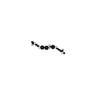 C=COC(=O)CCCCCOc1ccc(C(=O)Sc2ccc(-c3ccc(OCCCCOC(=O)C=C)cc3)cc2)cc1